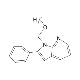 COCn1c(-c2ccccc2)cc2cccnc21